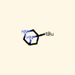 CC(C)(C)C12CNCC(C1)N2